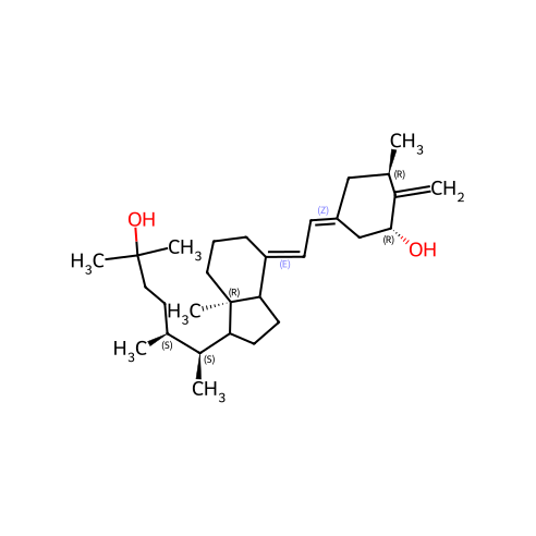 C=C1[C@H](C)C/C(=C/C=C2\CCC[C@@]3(C)C2CCC3[C@@H](C)[C@@H](C)CCC(C)(C)O)C[C@H]1O